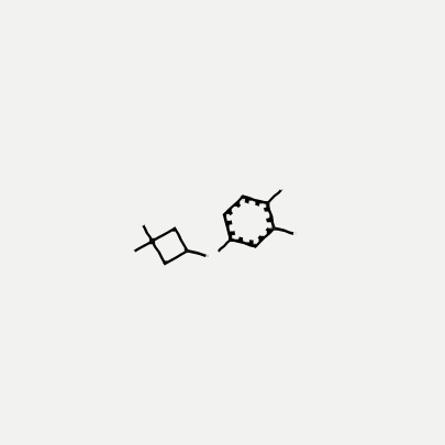 Cc1cc(OC2CC(F)(F)C2)ccc1Br